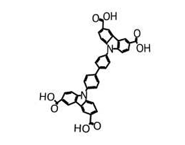 O=C(O)c1ccc2c(c1)c1cc(C(=O)O)ccc1n2-c1ccc(-c2ccc(-n3c4ccc(C(=O)O)cc4c4cc(C(=O)O)ccc43)cc2)cc1